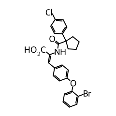 O=C(O)C(=Cc1ccc(Oc2ccccc2Br)cc1)NC(=O)C1(c2ccc(Cl)cc2)CCCC1